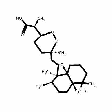 C[C@H](C(=O)O)[C@@H]1CC[C@](C)(CC[C@]2(C)[C@H](C)CC[C@@]3(C)C(C)(C)CCC[C@]32O)OO1